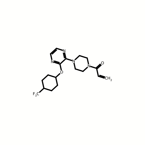 C=CC(=O)N1CCN(c2nccnc2OC2CCC(C(F)(F)F)CC2)CC1